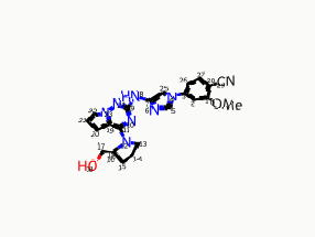 COc1cc(-n2cnc(Nc3nc(N4CCC[C@H]4CO)c4cccn4n3)c2)ccc1C#N